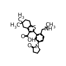 CNCc1ccc(N2CCCC2=O)cc1-c1sc2c(c1C(=O)O)CC(C)(C)CC2